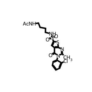 CC(=O)NCCCCNS(=O)(=O)c1cc2c(=O)n(-c3ccccc3Cl)c(C)nc2s1